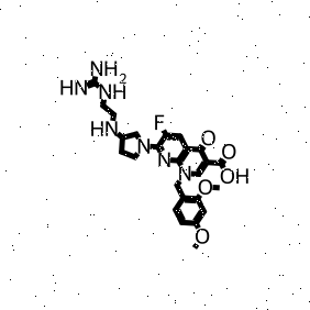 COc1ccc(Cn2cc(C(=O)O)c(=O)c3cc(F)c(N4CCC(NCCNC(=N)N)C4)nc32)c(OC)c1